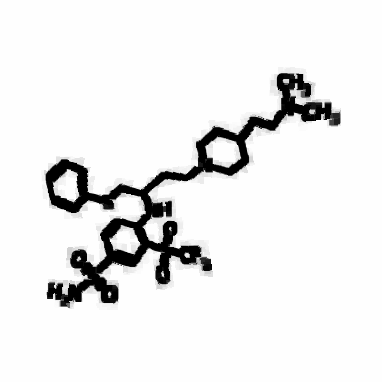 CN(C)CCC1CCN(CC[C@H](CSc2ccccc2)Nc2ccc(S(N)(=O)=O)cc2S(=O)(=O)C(F)(F)F)CC1